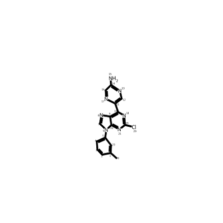 Cc1cccc(-n2cnc3c(-c4cnc(N)cn4)nc(Cl)nc32)c1